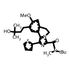 COc1cc2c(cc1CCC(C)(C)O)-c1c(-c3cccs3)nc(C(=O)N(C)C(C)(C)C)n1CC2